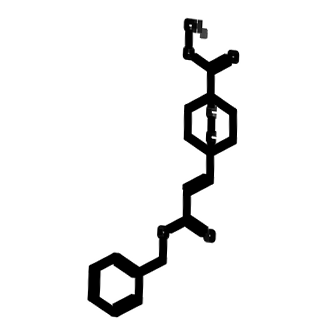 COC(=O)C12CCC(C=CC(=O)OCc3ccccc3)(CC1)CC2